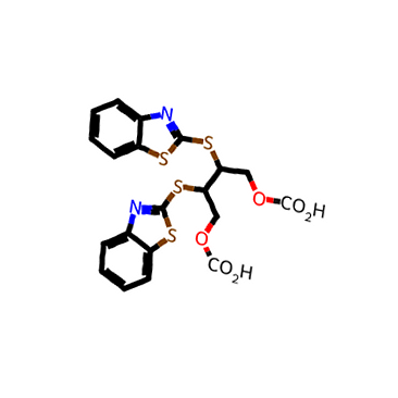 O=C(O)OCC(Sc1nc2ccccc2s1)C(COC(=O)O)Sc1nc2ccccc2s1